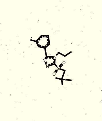 CCCn1c(-c2cccc(C)c2)nnc1S(=O)(=O)CC(C)(C)C